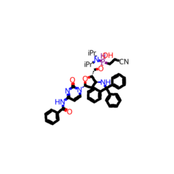 CC(C)N(C(C)C)[PH](O)(CCC#N)OC[C@H]1O[C@@H](n2ccc(NC(=O)c3ccccc3)nc2=O)C[C@@H]1NC(c1ccccc1)(c1ccccc1)c1ccccc1